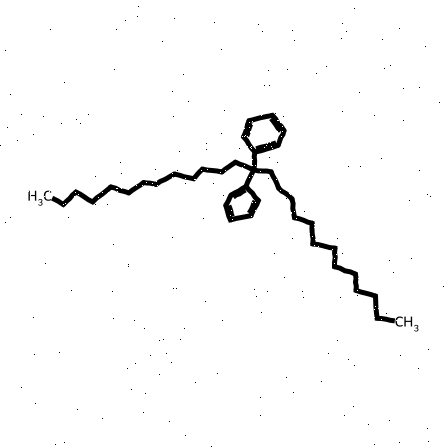 CCCCCCCCCCCCCC(CCCCCCCCCCCCC)(c1ccccc1)c1ccccc1